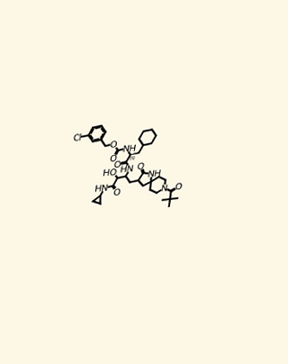 CC(C)(C)C(=O)N1CCC2(CC1)CC(CC(NC(=O)[C@H](CC1CCCCC1)NC(=O)OCc1cccc(Cl)c1)C(O)C(=O)NC1CC1)C(=O)N2